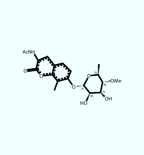 CO[C@@H]1[C@@H](O)[C@@H](O)[C@H](Oc2ccc3cc(NC(C)=O)c(=O)oc3c2C)O[C@H]1C